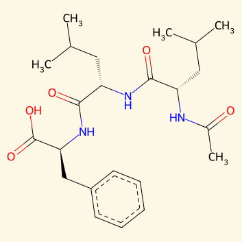 CC(=O)N[C@@H](CC(C)C)C(=O)N[C@@H](CC(C)C)C(=O)N[C@@H](Cc1ccccc1)C(=O)O